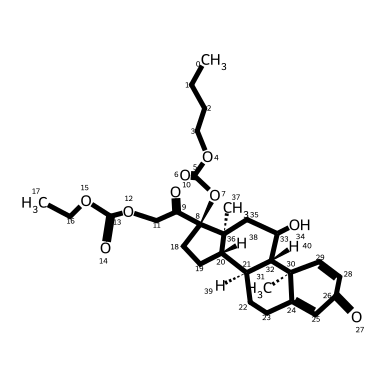 CCCCOC(=O)O[C@]1(C(=O)COC(=O)OCC)CC[C@H]2[C@@H]3CCC4=CC(=O)C=C[C@]4(C)[C@H]3C(O)C[C@@]21C